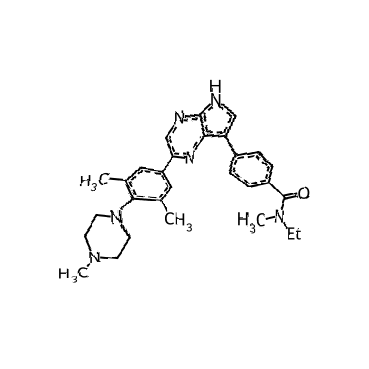 CCN(C)C(=O)c1ccc(-c2c[nH]c3ncc(-c4cc(C)c(N5CCN(C)CC5)c(C)c4)nc23)cc1